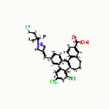 [2H]C([2H])(CCF)N1CC(=Cc2ccc(C3=C(c4ccc(Cl)cc4Cl)CCCc4cc(C(=O)O)ccc43)cc2)C1